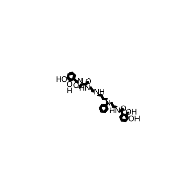 O=C(NCCCN(CCCCNCCNC(=O)C1COC(c2cccc(O)c2O)=N1)c1ccccc1)c1cccc(O)c1O